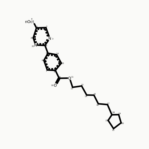 CCCCCCCCc1cnc(-c2ccc(C(=O)OCCCCCCC3CCCC3)cc2)nc1